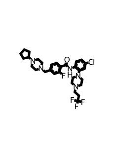 O=C(Nc1ccc(Cl)cc1N1CCN(CCC(F)(F)F)CC1)c1ccc(CN2CCN(C3CCCC3)CC2)cc1F